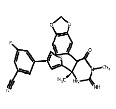 CN1C(=N)N[C@](C)(c2cc(-c3cc(F)cc(C#N)c3)cs2)C(c2ccc3c(c2)OCO3)C1=O